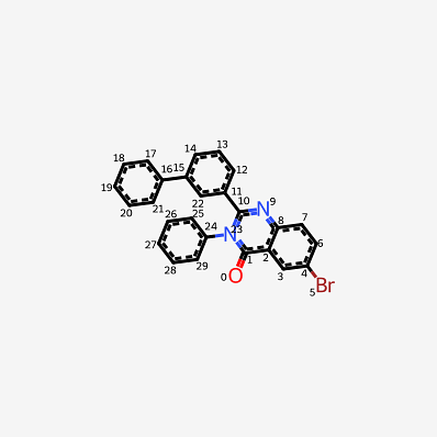 O=c1c2cc(Br)ccc2nc(-c2cccc(-c3ccccc3)c2)n1-c1ccccc1